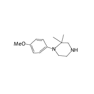 COc1ccc(N2CCNCC2(C)C)cc1